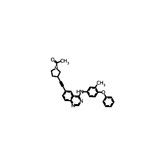 CC(=O)N1CCC(C#Cc2ccc3ncnc(Nc4ccc(Oc5ccccc5)c(C)c4)c3c2)C1